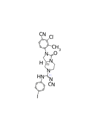 Cc1c(N2C[C@@H]3CN(/C(=N/C#N)Nc4ccc(I)cc4)CCN3C2=O)ccc(C#N)c1Cl